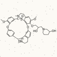 COc1ccc2cc1Oc1ccc(cc1)C[C@H]1c3cc(ccc3CCN1C)Oc1c(OCC(O)CN3CCCC(O)C3)c(OC)cc3c1[C@H](C2)N(C)CC3